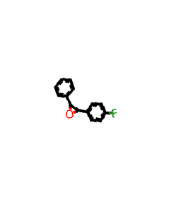 Fc1ccc(C2OC2c2ccccc2)cc1